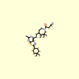 Cc1nc(CCC2CCN(C(=O)CC#N)CC(C)(C)C2C)c2nc(C3CCC(C)(C)CC3)sc2n1